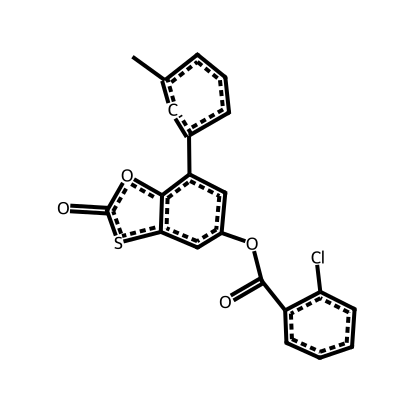 Cc1cccc(-c2cc(OC(=O)c3ccccc3Cl)cc3sc(=O)oc23)c1